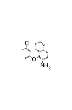 C=C(/C=C(\C)Cl)Oc1c(N)ccc2ccccc12